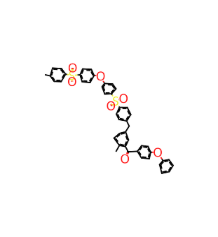 Cc1ccc(S(=O)(=O)c2ccc(Oc3ccc(S(=O)(=O)c4ccc(Cc5ccc(C)c(C(=O)c6ccc(Oc7ccccc7)cc6)c5)cc4)cc3)cc2)cc1